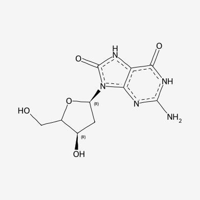 Nc1nc2c([nH]c(=O)n2[C@H]2C[C@@H](O)C(CO)O2)c(=O)[nH]1